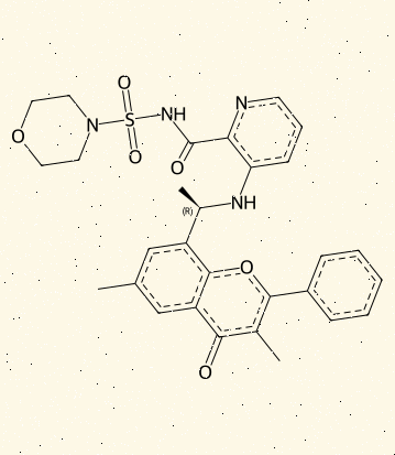 Cc1cc([C@@H](C)Nc2cccnc2C(=O)NS(=O)(=O)N2CCOCC2)c2oc(-c3ccccc3)c(C)c(=O)c2c1